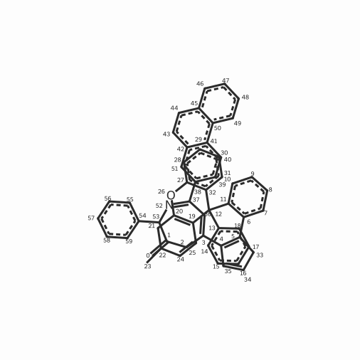 C=C1CC(C2=C(c3ccccc3C3(c4ccccc4)C4=C(CC(C)C=C4)Oc4ccccc43)CC=C2)=CC(c2ccc3c(ccc4ccccc43)c2)=NC1c1ccccc1